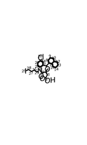 O=C(O)CC1OC(c2cccc3ccccc23)c2cc(Cl)ccc2N(CCCCI)C1=O